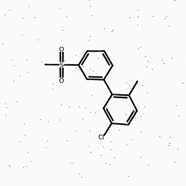 Cc1ccc(Cl)cc1-c1cccc(S(C)(=O)=O)c1